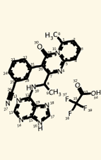 Cc1cccc2nc(C(C)Nc3ncnc4[nH]cnc34)c(-c3cccc(C#N)c3)c(=O)n12.O=C(O)C(F)(F)F